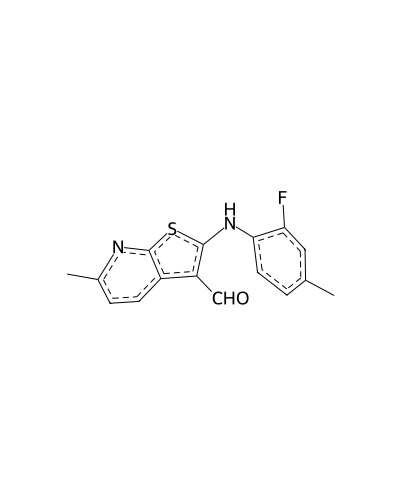 Cc1ccc(Nc2sc3nc(C)ccc3c2C=O)c(F)c1